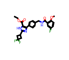 CCOC(=O)c1[nH]c(C2CC(F)(F)C2)nc1-c1ccc(CNC(=O)c2cc(F)ccc2OC)cc1